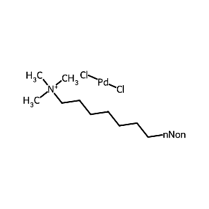 CCCCCCCCCCCCCCCC[N+](C)(C)C.[Cl][Pd][Cl]